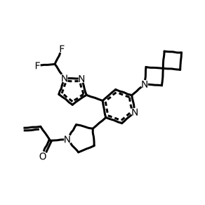 C=CC(=O)N1CCC(c2cnc(N3CC4(CCC4)C3)cc2-c2ccn(C(F)F)n2)C1